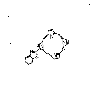 C1=Cc2cc3cc(-c4nc5ccccc5s4)c(cc4nc(cc5ccc(cc1n2)[nH]5)C=C4)[nH]3